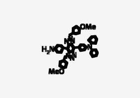 COc1ccc(Cn2nc3c(-c4ccc(N(c5ccccc5)c5ccccc5)cc4)c4nnn(Cc5ccc(OC)cc5)c4c(-c4ccc(N)cc4)c3n2)cc1